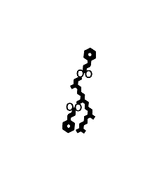 CC(C)=CCCC(C)=CCCC(=CCCC(C)=CCOC(=O)C=Cc1ccccc1)COC(=O)C=Cc1ccccc1